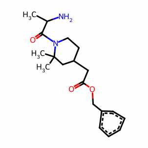 CC(N)C(=O)N1CCC(CC(=O)OCc2ccccc2)CC1(C)C